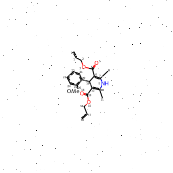 C=CCOC(=O)C1=C(C)NC(C)=C(C(=O)OCC=C)C1c1ccccc1OC